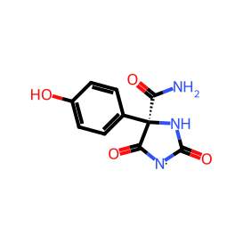 NC(=O)[C@]1(c2ccc(O)cc2)NC(=O)[N]C1=O